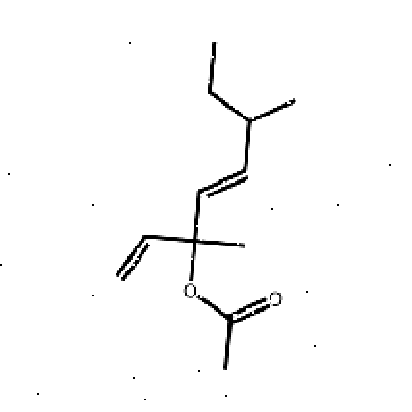 C=CC(C)(/C=C/C(C)CC)OC(C)=O